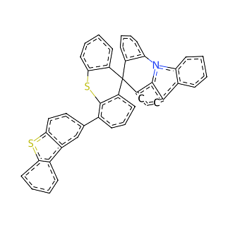 c1ccc2c(c1)Sc1c(-c3ccc4sc5ccccc5c4c3)cccc1C21c2ccccc2-n2c3ccccc3c3cccc1c32